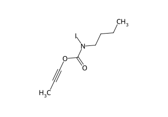 CC#COC(=O)N(I)CCCC